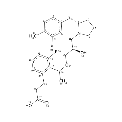 Cc1ccc(C[C@@H]2CCCN2C[C@@H](O)COC(C)c2c(F)cccc2CCC(=O)O)cc1F